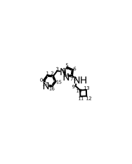 c1cc(Cn2ccc(NCC3CCC3)n2)ccn1